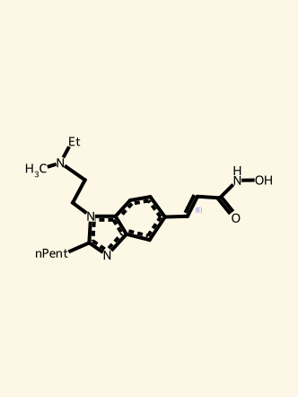 CCCCCc1nc2cc(/C=C/C(=O)NO)ccc2n1CCN(C)CC